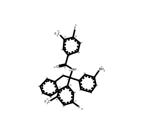 Bc1cccc(C(Cc2ccccc2)(NC(=O)c2ccc(F)c(C(F)(F)F)c2)c2cc(F)cc(C(F)(F)F)c2)c1